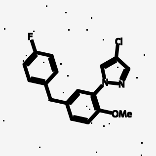 COc1ccc(Cc2ccc(F)cc2)cc1-n1cc(Cl)cn1